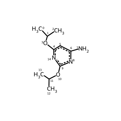 CC(C)Oc1cc(N)nc(OC(C)C)n1